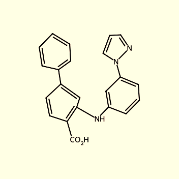 O=C(O)c1ccc(-c2ccccc2)cc1Nc1cccc(-n2cccn2)c1